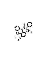 C[C@H](NC(c1ccccc1)c1cccc(N)c1Cl)c1ccccc1